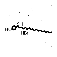 Br.CCCCCCCCCCCCCCCCCCC(S)c1ccc(O)cc1